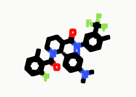 Cc1ccc(NC(=O)C2CCCN(C(=O)c3c(C)cccc3F)[C@H]2c2ccc(N(C)C)cc2)cc1C(F)(F)F